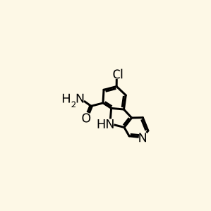 NC(=O)c1cc(Cl)cc2c1[nH]c1cnccc12